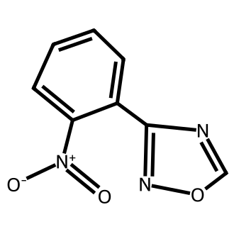 O=[N+]([O-])c1ccccc1-c1ncon1